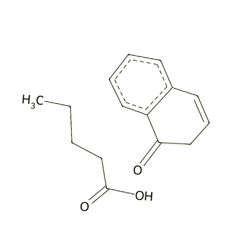 CCCCC(=O)O.O=C1CC=Cc2ccccc21